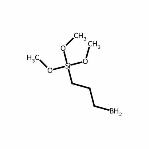 BCCC[Si](OC)(OC)OC